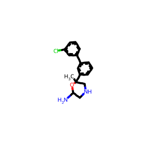 CC1(c2cccc(-c3cccc(Cl)c3)c2)CNCC(N)O1